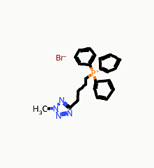 Cn1nnc(CCCC[P+](c2ccccc2)(c2ccccc2)c2ccccc2)n1.[Br-]